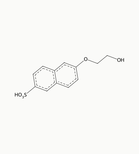 O=S(=O)(O)c1ccc2cc(OCCO)ccc2c1